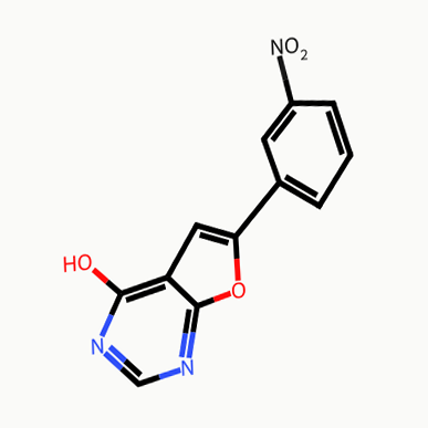 O=[N+]([O-])c1cccc(-c2cc3c(O)ncnc3o2)c1